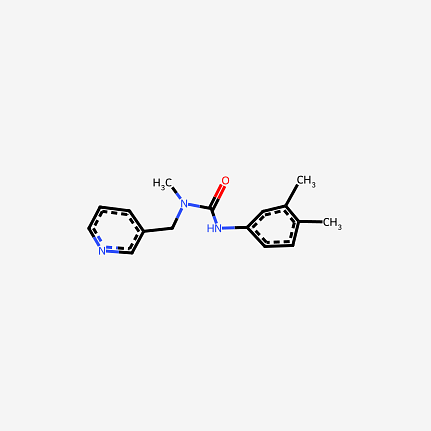 Cc1ccc(NC(=O)N(C)Cc2cccnc2)cc1C